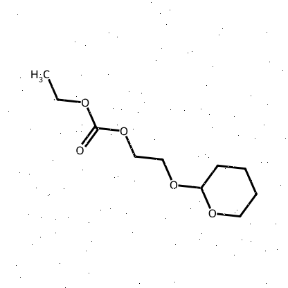 C[CH]OC(=O)OCCOC1CCCCO1